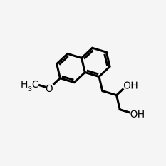 COc1ccc2cccc(CC(O)CO)c2c1